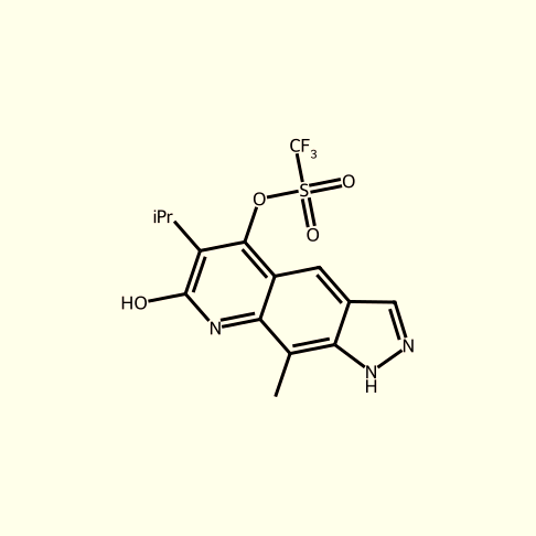 Cc1c2nc(O)c(C(C)C)c(OS(=O)(=O)C(F)(F)F)c2cc2cn[nH]c12